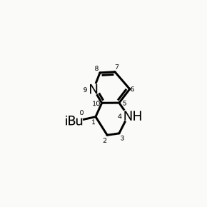 CCC(C)C1CCNc2cccnc21